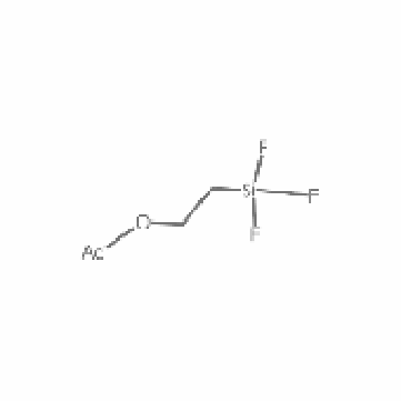 CC(=O)OCC[Si](F)(F)F